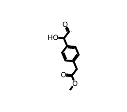 COC(=O)Cc1ccc(C(O)[C]=O)cc1